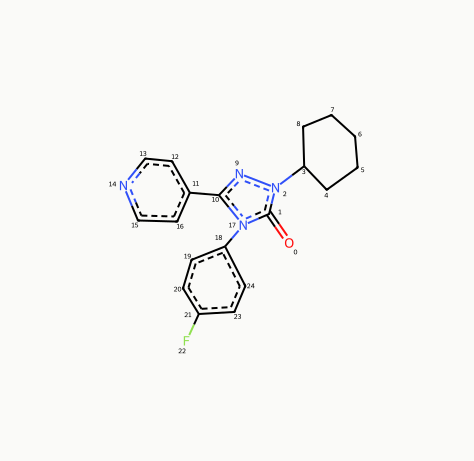 O=c1n(C2CCCCC2)nc(-c2ccncc2)n1-c1ccc(F)cc1